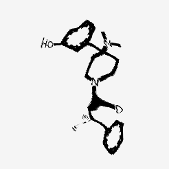 C[C@H](CC(=O)N1CCC(c2cccc(O)c2)(N(C)C)CC1)c1ccccc1